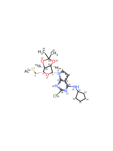 CC(=O)SC[C@H]1O[C@@H](n2ccc3c(NC4CCCC4)nc(Cl)nc32)[C@@H]2OC(C)(C)O[C@@H]21